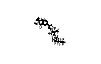 CCN(C(=O)c1cc(-c2cnn(-c3c(C(F)(F)F)c(OS(=O)(=O)C(F)(F)C(F)(F)C(F)(F)C(F)(F)F)nn3C)c2)ccc1Cl)C1(C#N)CC1